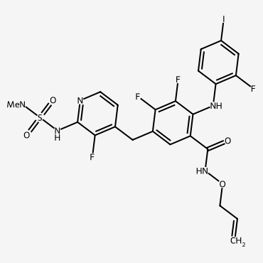 C=CCONC(=O)c1cc(Cc2ccnc(NS(=O)(=O)NC)c2F)c(F)c(F)c1Nc1ccc(I)cc1F